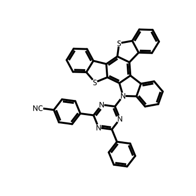 N#Cc1ccc(-c2nc(-c3ccccc3)nc(-n3c4ccccc4c4c5c6ccccc6sc5c5c6ccccc6sc5c43)n2)cc1